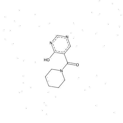 O=C(c1cn[c]nc1O)N1CCCCC1